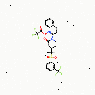 CC(C)(C1CCN(c2ccc3ccccc3[n+]2OC(=O)C(F)(F)F)C(=O)C1)S(=O)(=O)c1cccc(C(F)(F)F)c1